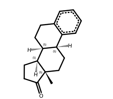 C[C@]12CC[C@@H]3c4ccccc4CC[C@@H]3[C@@H]1CCC2=O